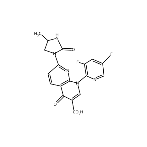 CC1CN(c2ccc3c(=O)c(C(=O)O)cn(-c4ncc(F)cc4F)c3n2)C(=O)N1